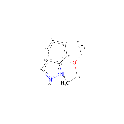 CCOCC.c1ccc2[nH]ncc2c1